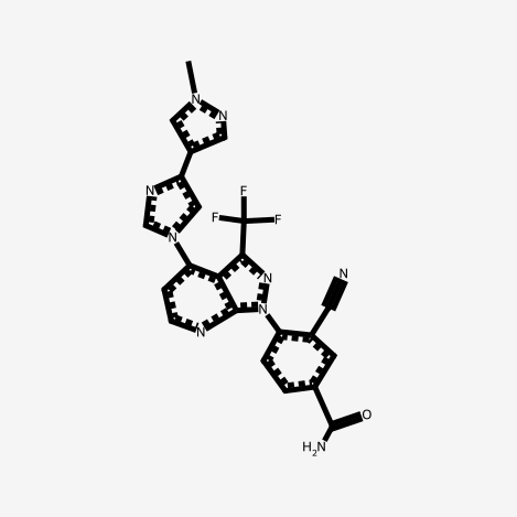 Cn1cc(-c2cn(-c3ccnc4c3c(C(F)(F)F)nn4-c3ccc(C(N)=O)cc3C#N)cn2)cn1